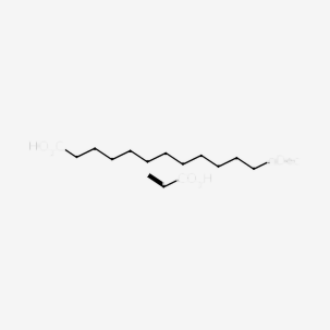 C=CC(=O)O.CCCCCCCCCCCCCCCCCCCCCC(=O)O